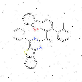 C=C(c1nc(-c2ccccc2)c2sc3ccccc3c2n1)c1c(-c2ccccc2C)ccc2c1oc1ccccc12